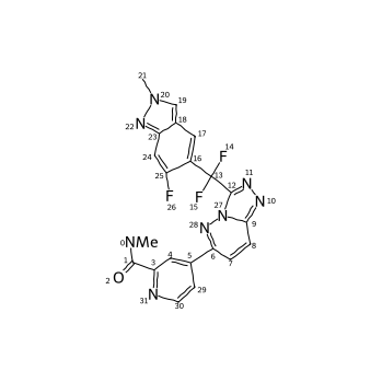 CNC(=O)c1cc(-c2ccc3nnc(C(F)(F)c4cc5cn(C)nc5cc4F)n3n2)ccn1